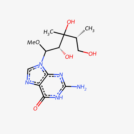 COC([C@@H](O)C(C)(O)[C@H](C)CO)n1cnc2c(=O)[nH]c(N)nc21